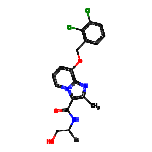 CCC(CO)NC(=O)c1c(C)nc2c(OCc3cccc(Cl)c3Cl)cccn12